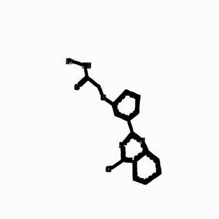 CC(C)NC(=O)COc1cccc(-c2nc(Cl)c3ccccc3n2)c1